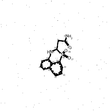 NC(=O)CC1Nc2cccc3cccc(c23)S1(=O)=O